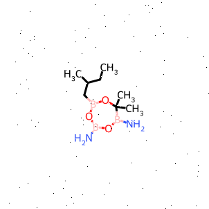 CCC(C)CB1OB(N)OB(N)C(C)(C)O1